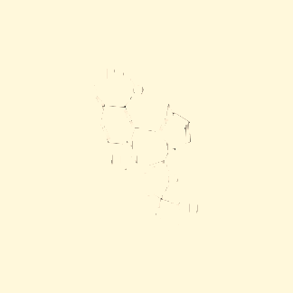 COc1c(-c2nccn2C(=O)OC(C)(C)C)n(N)ccc1=O